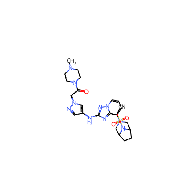 CN1CCN(C(=O)Cn2cc(Nc3nc4c(N5CC6CCC(C5)N6S(=O)(=O)CC#N)cccn4n3)cn2)CC1